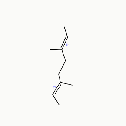 C/C=C(\C)CC/C(C)=C/C